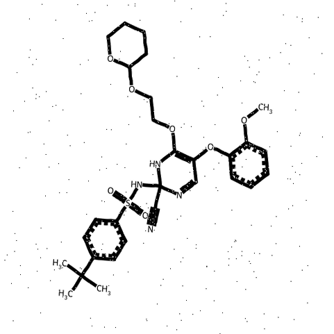 COc1ccccc1OC1=C(OCCOC2CCCCO2)NC(C#N)(NS(=O)(=O)c2ccc(C(C)(C)C)cc2)N=C1